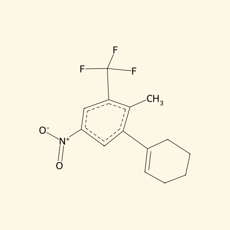 Cc1c(C2=CCCCC2)cc([N+](=O)[O-])cc1C(F)(F)F